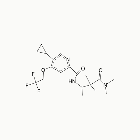 CC(NC(=O)c1cc(OCC(F)(F)F)c(C2CC2)cn1)C(C)(C)C(=O)N(C)C